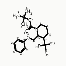 CC(C)(C)OC(=O)N1CCCC(C(F)(F)F)C1COc1ccccc1